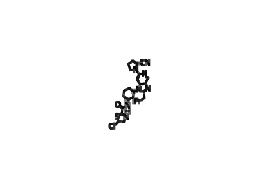 CC(C)Cc1nc2cnc(N3CCC[C@@H]3C#N)cc2n1[C@@H]1CCC[C@H](NC(=O)c2ncc(Cl)s2)C1